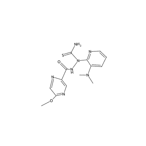 COc1cnc(C(=O)NN(C(N)=S)c2ncccc2N(C)C)cn1